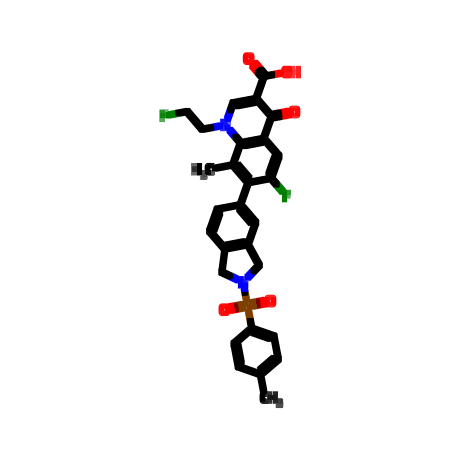 Cc1ccc(S(=O)(=O)N2Cc3ccc(-c4c(F)cc5c(=O)c(C(=O)O)cn(CCF)c5c4C)cc3C2)cc1